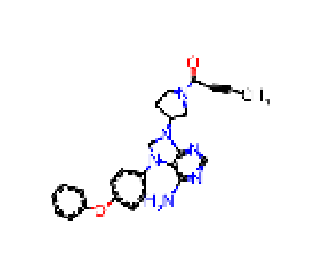 CC#CC(=O)N1CCC(N2CN(c3ccc(Oc4ccccc4)cc3)c3c(N)ncnc32)C1